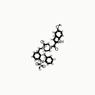 COc1ccc2[nH]c(C(=O)N3CC(=O)N(Cc4cccc(NS(C)(=O)=O)c4)[C@@H](Cc4ccccc4)C3)cc2c1